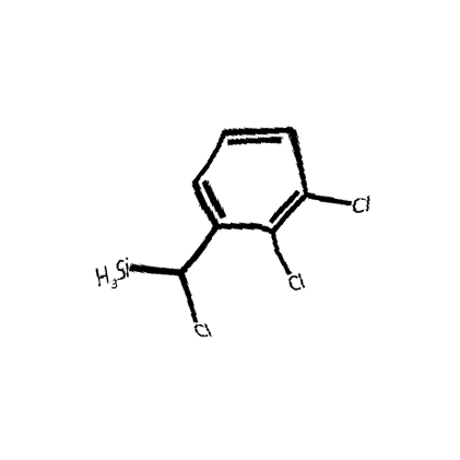 [SiH3]C(Cl)c1cccc(Cl)c1Cl